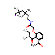 CC[C@@H](C)C(=O)c1c(OCC(=O)NCCC(C)(C)CC(C)(C)CI)cccc1C(C)=O